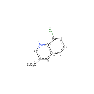 CCOC(=O)c1cnc2c(Cl)cccc2c1